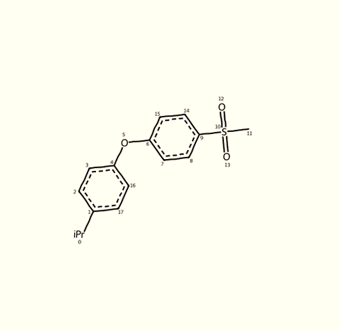 CC(C)c1ccc(Oc2ccc(S(C)(=O)=O)cc2)cc1